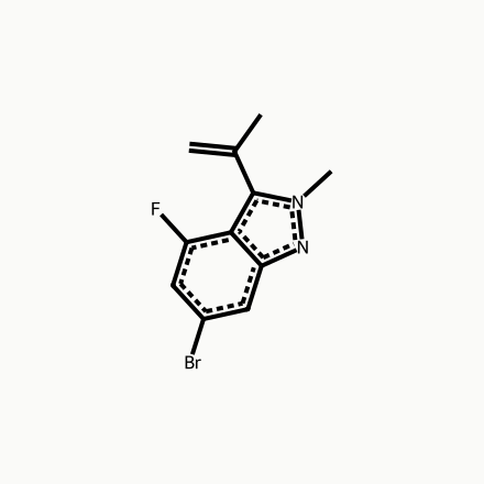 C=C(C)c1c2c(F)cc(Br)cc2nn1C